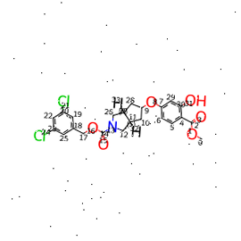 COC(=O)c1ccc(OC2C[C@@H]3CN(C(=O)OCc4cc(Cl)cc(Cl)c4)C[C@@H]3C2)cc1O